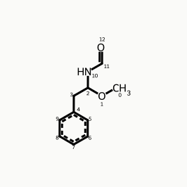 COC(Cc1ccccc1)NC=O